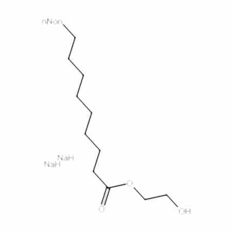 CCCCCCCCCCCCCCCCCC(=O)OCCO.[NaH].[NaH]